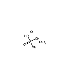 O=P(O)(O)O.[CaH2].[Cr]